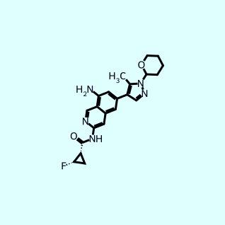 Cc1c(-c2cc(N)c3cnc(NC(=O)[C@@H]4C[C@@H]4F)cc3c2)cnn1C1CCCCO1